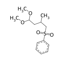 COC(CC(C)CS(=O)(=O)c1ccccc1)OC